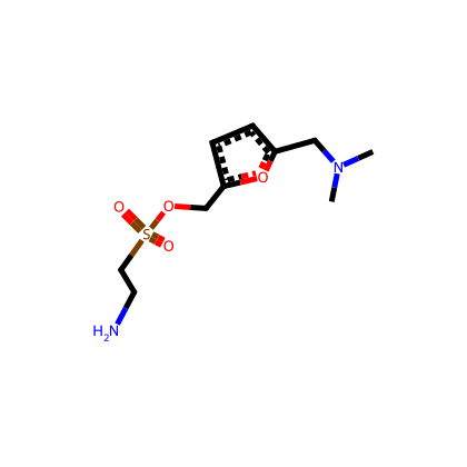 CN(C)Cc1ccc(COS(=O)(=O)CCN)o1